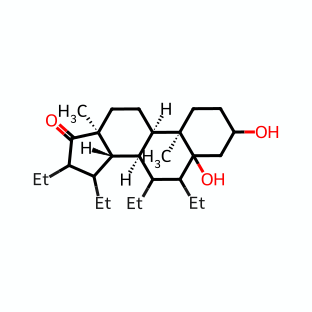 CCC1C(=O)[C@@]2(C)CC[C@@H]3[C@@H](C(CC)C(CC)C4(O)CC(O)CC[C@]34C)[C@@H]2C1CC